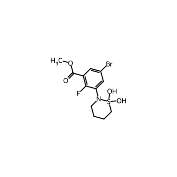 COC(=O)c1cc(Br)cc(N2CCCCS2(O)O)c1F